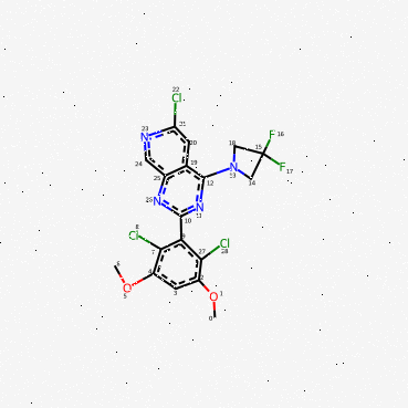 COc1cc(OC)c(Cl)c(-c2nc(N3CC(F)(F)C3)c3cc(Cl)ncc3n2)c1Cl